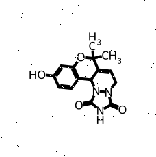 CC1(C)Oc2cc(O)ccc2C2C1=CCn1c(=O)[nH]c(=O)n12